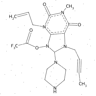 C=CCn1c2c(c(=O)n(C)c1=O)N(CC#CC)C(N1CCNCC1)N2OC(=O)C(F)(F)F